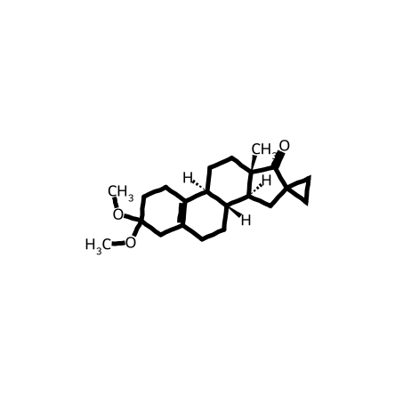 COC1(OC)CCC2=C(CC[C@@H]3[C@@H]2CC[C@]2(C)C(=O)C4(CC4)C[C@@H]32)C1